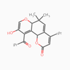 CCCC1=CC(=O)OC2C1=CC(C)(C)C1OC=C(O)C(C(=O)C(C)C)=C21